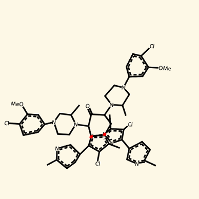 COc1cc(N2CCN(C(Cn3nc(-c4ccc(C)nc4)c(Cl)c3C)C(=O)C(Cn3nc(-c4ccc(C)nc4)c(Cl)c3C)N3CCN(c4ccc(Cl)c(OC)c4)CC3C)C(C)C2)ccc1Cl